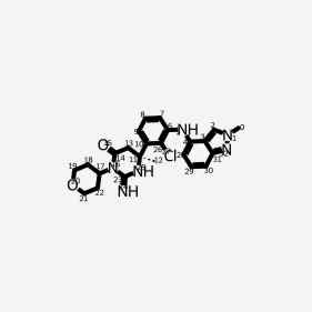 Cn1cc2c(Nc3cccc([C@]4(C)CC(=O)N(C5CCOCC5)C(=N)N4)c3Cl)cccc2n1